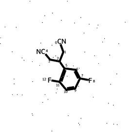 N#CCC(CC#N)c1cc(F)ccc1F